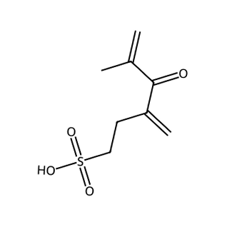 C=C(C)C(=O)C(=C)CCS(=O)(=O)O